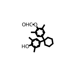 Cc1cc(C2(c3cc(C)c(OC=O)c(C)c3)CCCCC2)cc(C)c1O